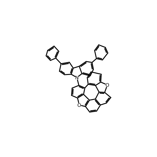 c1ccc(-c2ccc3c(c2)c2cc(-c4ccccc4)ccc2n3-c2ccc3oc4ccc5ccc6oc7cccc8c7c6c5c4c3c2-8)cc1